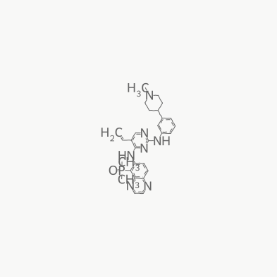 C=Cc1cnc(Nc2cccc(C3CCN(C)CC3)c2)nc1Nc1ccc2nccnc2c1P(C)(C)=O